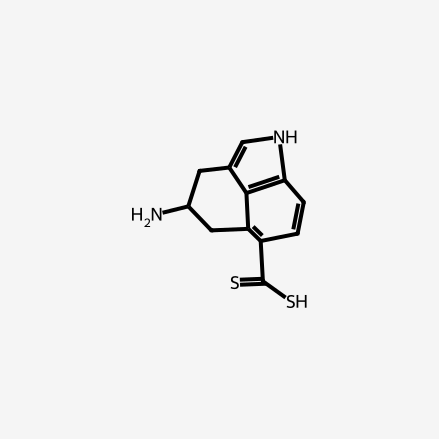 NC1Cc2c[nH]c3ccc(C(=S)S)c(c23)C1